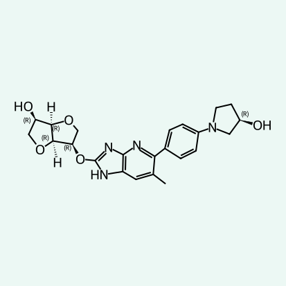 Cc1cc2[nH]c(O[C@@H]3CO[C@H]4[C@@H]3OC[C@H]4O)nc2nc1-c1ccc(N2CC[C@@H](O)C2)cc1